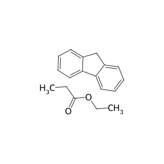 CCOC(=O)CC.c1ccc2c(c1)Cc1ccccc1-2